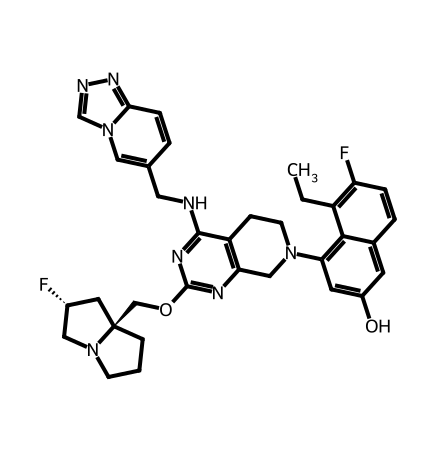 CCc1c(F)ccc2cc(O)cc(N3CCc4c(nc(OC[C@@]56CCCN5C[C@H](F)C6)nc4NCc4ccc5nncn5c4)C3)c12